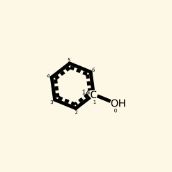 O[14c]1ccccc1